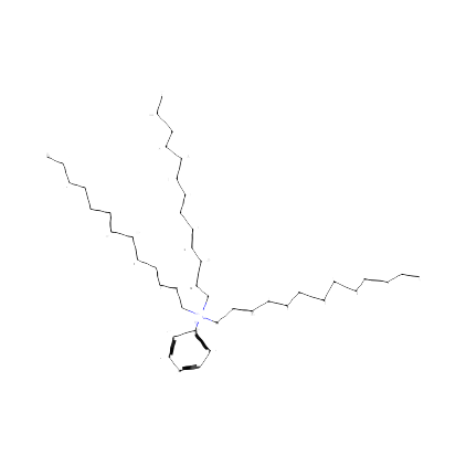 CCCCCCCCCCCCC[N+](CCCCCCCCCCCCC)(CCCCCCCCCCCCC)c1ccccc1